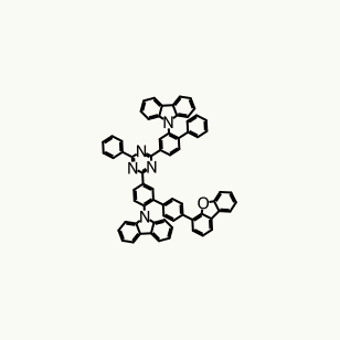 c1ccc(-c2nc(-c3ccc(-n4c5ccccc5c5ccccc54)c(-c4ccc(-c5cccc6c5oc5ccccc56)cc4)c3)nc(-c3ccc(-c4ccccc4)c(-n4c5ccccc5c5ccccc54)c3)n2)cc1